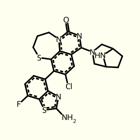 Nc1nc2c(-c3c(Cl)cc4c(N5CC6CCC(C5)N6)nc(=O)n5c4c3SCCC5)ccc(F)c2s1